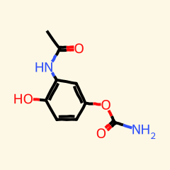 CC(=O)Nc1cc(OC(N)=O)ccc1O